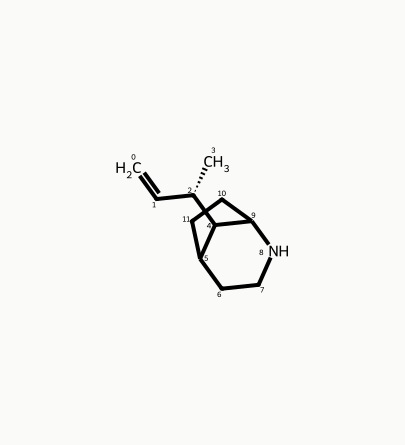 C=C[C@H](C)C1C2CCNC1CC2